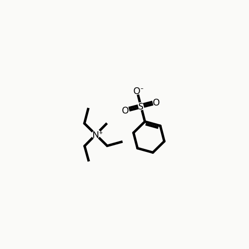 CC[N+](C)(CC)CC.O=S(=O)([O-])C1=CCCCC1